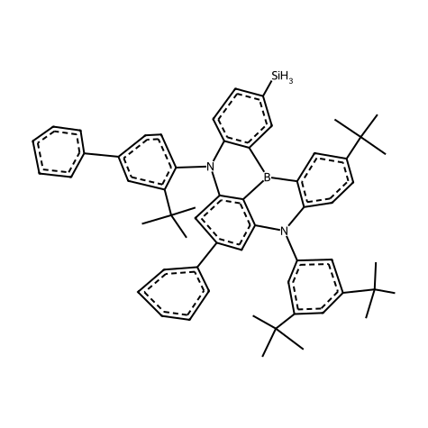 CC(C)(C)c1cc(N2c3ccc(C(C)(C)C)cc3B3c4cc([SiH3])ccc4N(c4ccc(-c5ccccc5)cc4C(C)(C)C)c4cc(-c5ccccc5)cc2c43)cc(C(C)(C)C)c1